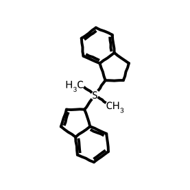 CS(C)(C1C=Cc2ccccc21)C1CCc2ccccc21